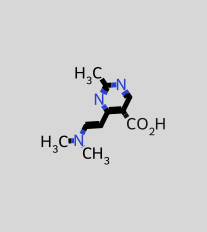 Cc1ncc(C(=O)O)c(C=CN(C)C)n1